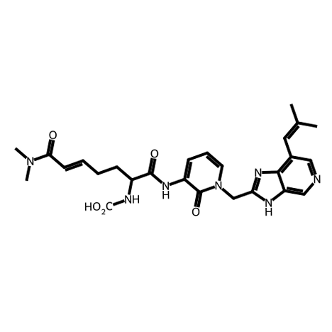 CC(C)=Cc1cncc2[nH]c(Cn3cccc(NC(=O)C(CCC=CC(=O)N(C)C)NC(=O)O)c3=O)nc12